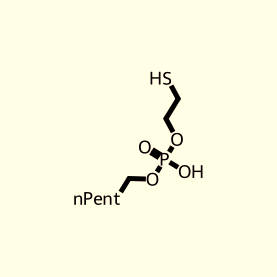 CCCCCCOP(=O)(O)OCCS